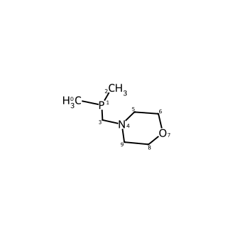 CP(C)CN1CCOCC1